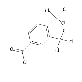 O=C(Cl)c1ccc(C(Cl)(Cl)Cl)c(C(Cl)(Cl)Cl)c1